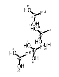 OB(O)F.OB(O)F.OB(O)F.OB(O)F.[LiH]